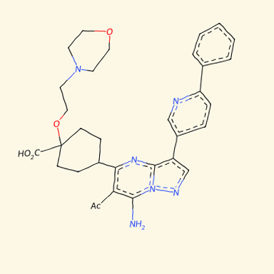 CC(=O)c1c(C2CCC(OCCN3CCOCC3)(C(=O)O)CC2)nc2c(-c3ccc(-c4ccccc4)nc3)cnn2c1N